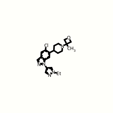 CCn1cc(-n2ncc3cc(Cl)c(C4CCN(C5(C)COC5)CC4)cc32)cn1